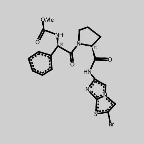 COC(=O)N[C@@H](C(=O)N1CCC[C@H]1C(=O)Nc1cn2cc(Br)sc2n1)c1ccccc1